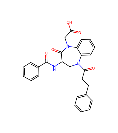 O=C(O)CN1C(=O)C(NC(=O)c2ccccc2)CN(C(=O)CCc2ccccc2)c2ccccc21